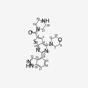 O=C(c1cc2c(N3CCOCC3)nc(-c3cccc4[nH]ncc34)nc2s1)N1CCNCC1